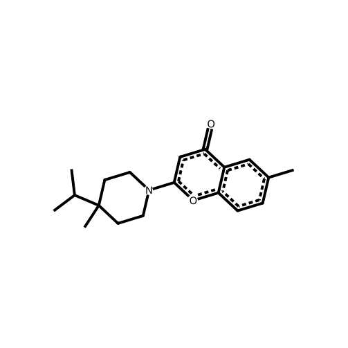 Cc1ccc2oc(N3CCC(C)(C(C)C)CC3)cc(=O)c2c1